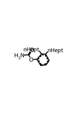 CCCCCCCc1cccc(OC(N)=O)c1CCCCCCC